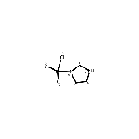 ClC(Cl)(Cl)N1CCNC1